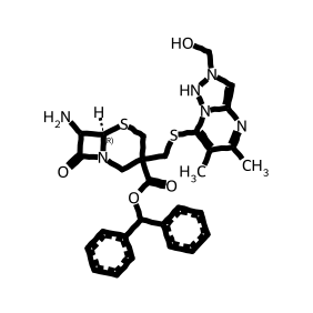 CC1=NC2=CN(CO)NN2C(SCC2(C(=O)OC(c3ccccc3)c3ccccc3)CS[C@@H]3C(N)C(=O)N3C2)=C1C